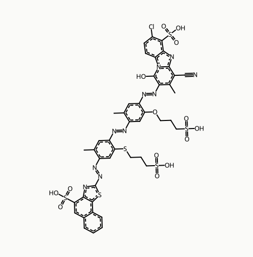 Cc1cc(N=Nc2cc(OCCCS(=O)(=O)O)c(N=Nc3c(C)c(C#N)c4nc5c(S(=O)(=O)O)c(Cl)ccc5n4c3O)cc2C)c(SCCCS(=O)(=O)O)cc1N=Nc1nc2c(S(=O)(=O)O)cc3ccccc3c2s1